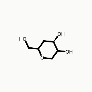 OCC1C[C@@H](O)C(O)CO1